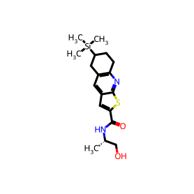 C[C@@H](CO)NC(=O)c1cc2cc3c(nc2s1)CCC([Si](C)(C)C)C3